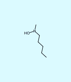 CCCCCN(C)O